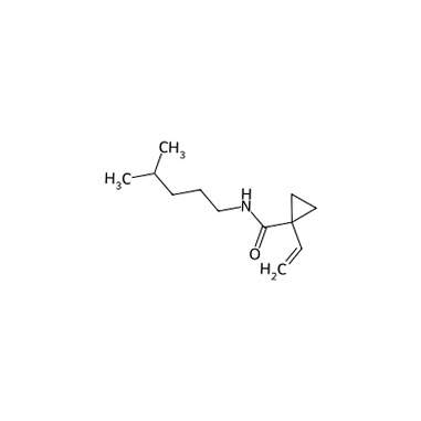 C=CC1(C(=O)NCCCC(C)C)CC1